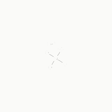 [Ce+4].[O-][Si]([O-])([O-])[O-]